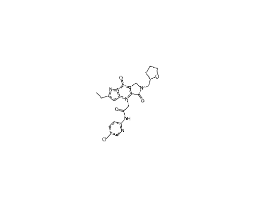 CCc1cc2n(CC(=O)Nc3ccc(Cl)cn3)c3c(c(=O)n2n1)CN(CC1CCCO1)C3=O